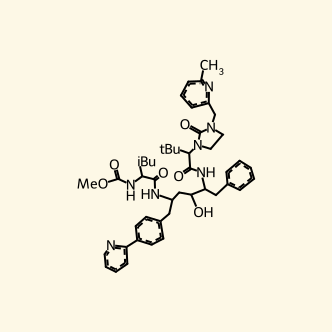 CCC(C)C(NC(=O)OC)C(=O)NC(Cc1ccc(-c2ccccn2)cc1)CC(O)C(Cc1ccccc1)NC(=O)C(N1CCN(Cc2cccc(C)n2)C1=O)C(C)(C)C